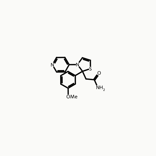 COc1cccc(C2(CC(N)=O)SC=CN2c2ccncc2)c1